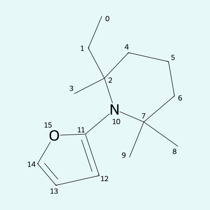 CCC1(C)CCCC(C)(C)N1c1ccco1